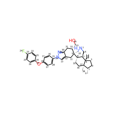 C[C@H]1CC[C@H]2[C@H](CN)[C@@H]([C@@]3(C)Cc4cn(-c5ccc(Oc6ccc(F)cc6)cc5)nc4C[C@@H]3CO)CC[C@]12C